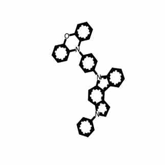 c1ccc(-n2ccc3c4c5ccccc5n(-c5ccc(N6c7ccccc7Oc7ccccc76)cc5)c4ccc32)cc1